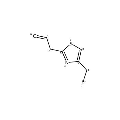 O=CCc1nc(CBr)cs1